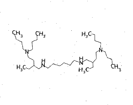 CCCCN(CCCC)CCC(CC)CNCCCCCCNCC(CC)CCN(CCCC)CCCC